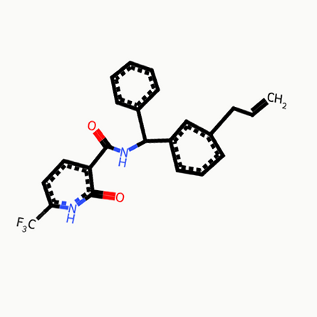 C=CCc1cccc(C(NC(=O)c2ccc(C(F)(F)F)[nH]c2=O)c2ccccc2)c1